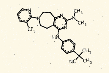 CN(C)c1nc2c(c(Nc3ccc(C(C)(C)C#N)cc3)n1)CCN(c1ncccc1C(F)(F)F)CC2